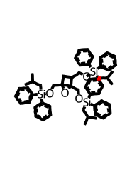 CC(C)C[Si](OCC1CC2(CO[Si](CC(C)C)(c3ccccc3)c3ccccc3)OC12CO[Si](CC(C)C)(c1ccccc1)c1ccccc1)(c1ccccc1)c1ccccc1